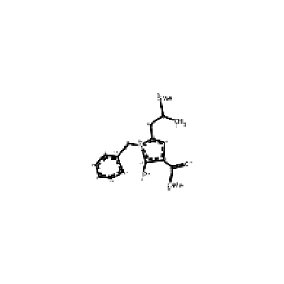 COC(=O)c1cc(CC(C)SC)n(Cc2ccccc2)c1C(C)C